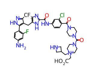 Nc1ccc(-c2[nH]nc(C(F)(F)F)c2Cc2cnc(C(=O)Nc3ccc(C(=O)N4CCN(C(=O)N5CC[N+](CC(=O)O)(CC6CNC6)CC5)CC4)c(Cl)c3)[nH]2)c(F)c1